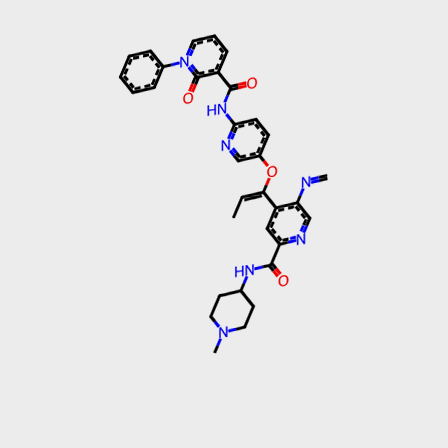 C=Nc1cnc(C(=O)NC2CCN(C)CC2)cc1/C(=C\C)Oc1ccc(NC(=O)c2cccn(-c3ccccc3)c2=O)nc1